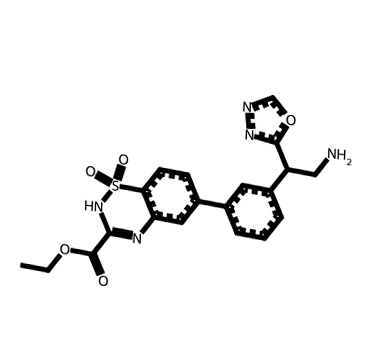 CCOC(=O)C1=Nc2cc(-c3cccc(C(CN)c4nnco4)c3)ccc2S(=O)(=O)N1